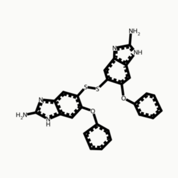 Nc1nc2cc(SSc3cc4nc(N)[nH]c4cc3Oc3ccccc3)c(Oc3ccccc3)cc2[nH]1